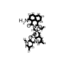 CCOP(=O)(CC(CC(C)C)C(=O)N[C@@H](CC(C)C)C(=O)NC)CN1C(=O)c2cccc3ccc(N)c(c23)C1=O